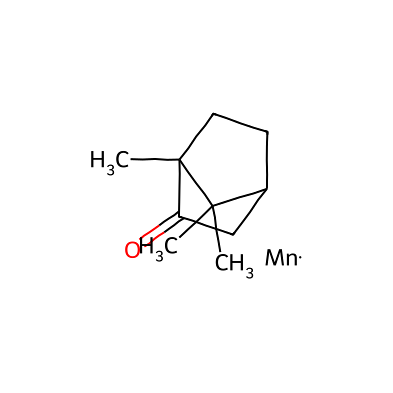 CC12CCC(CC1=O)C2(C)C.[Mn]